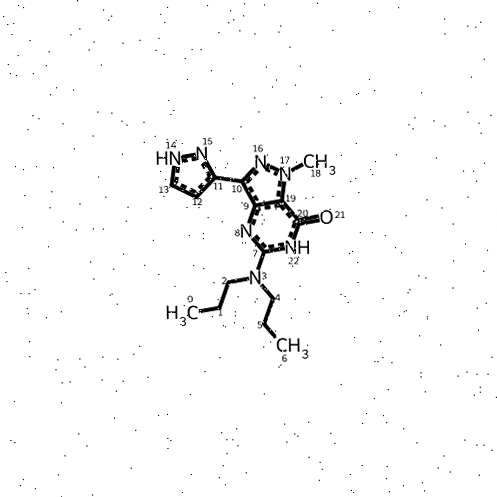 CCCN(CCC)c1nc2c(-c3cc[nH]n3)nn(C)c2c(=O)[nH]1